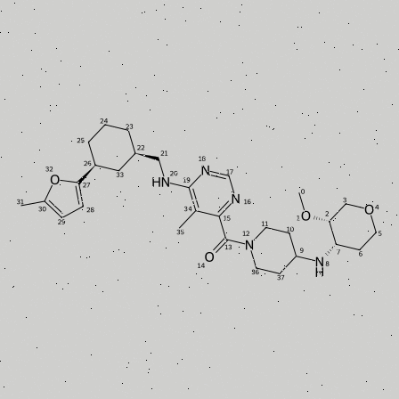 CO[C@@H]1COCC[C@@H]1NC1CCN(C(=O)c2ncnc(NC[C@@H]3CCC[C@H](c4ccc(C)o4)C3)c2C)CC1